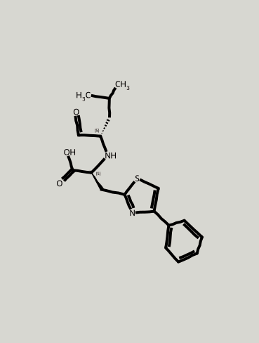 CC(C)C[C@@H](C=O)N[C@@H](Cc1nc(-c2ccccc2)cs1)C(=O)O